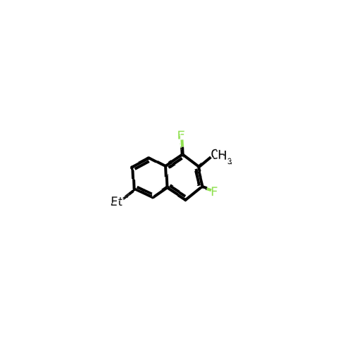 CCc1ccc2c(F)c(C)c(F)cc2c1